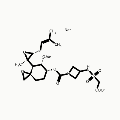 CO[C@@H]1[C@H](OC(=O)N2CC(NS(=O)(=O)CC(=O)[O-])C2)CC[C@]2(CO2)[C@H]1[C@@]1(C)O[C@@H]1CC=C(C)C.[Na+]